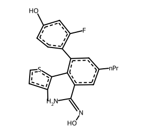 CCCc1cc(/C(N)=N/O)c(-c2sccc2C)c(-c2ccc(O)cc2F)c1